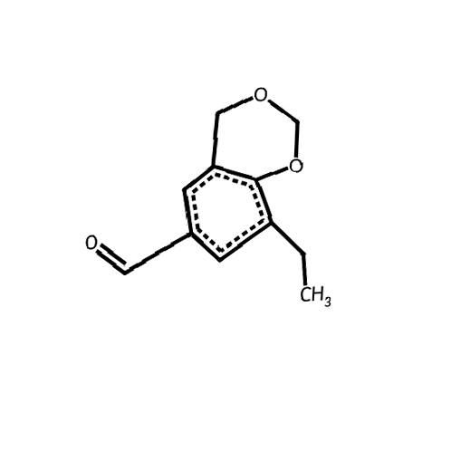 CCc1cc(C=O)cc2c1OCOC2